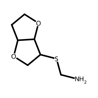 NCSC1COC2CCOC21